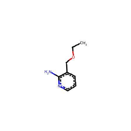 CCOCc1c[c]cnc1N